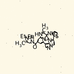 CCN(CC)[C@@H](C)CNC(=O)c1cc(N[C@H](C)C(N)=O)nc(-c2cnn3ccc(-c4cccs4)nc23)c1